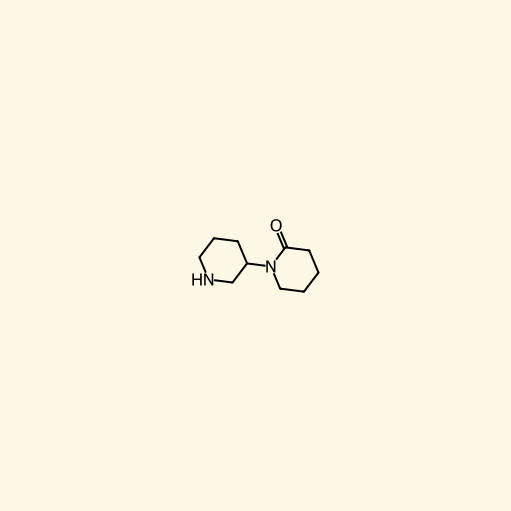 O=C1CCCCN1C1CCCNC1